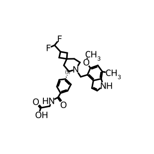 COc1cc(C)c2[nH]ccc2c1CN1CCC2(CC(C(F)F)C2)C[C@H]1c1ccc(C(=O)NCC(=O)O)cc1